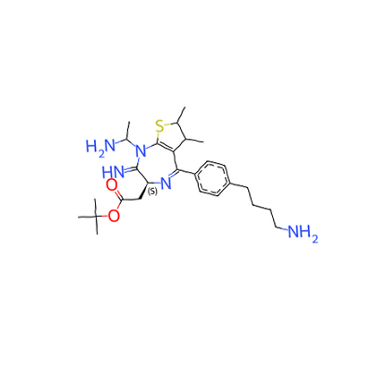 CC1SC2=C(C(c3ccc(CCCCN)cc3)=N[C@@H](CC(=O)OC(C)(C)C)C(=N)N2C(C)N)C1C